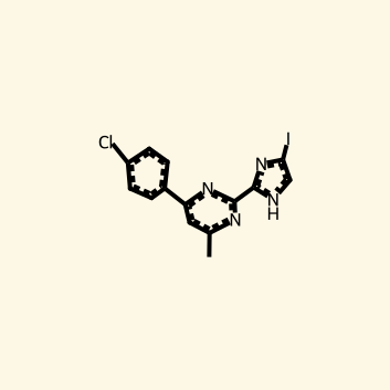 Cc1cc(-c2ccc(Cl)cc2)nc(-c2nc(I)c[nH]2)n1